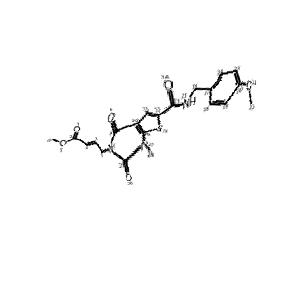 COC(=O)C=CCn1c(=O)c2cc(C(=O)NCc3ccc(OC)cc3)sc2n(C)c1=O